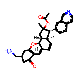 CC(=O)OC1(C)C[C@H]2[C@@H]3OC4=C(C=C3C=C[C@]2(C)[C@H]1c1ccc2ccncc2c1)C(=O)CC(CN)C4